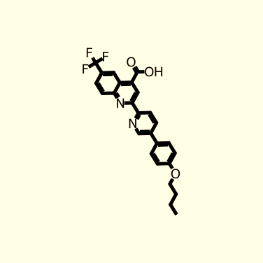 CCCCOc1ccc(-c2ccc(-c3cc(C(=O)O)c4cc(C(F)(F)F)ccc4n3)nc2)cc1